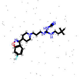 CC(C)(C)CCNC(=NCCCN1CCC(c2noc3cc(F)ccc23)CC1)NC#N